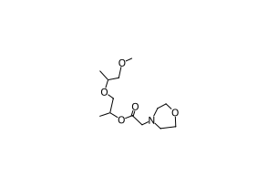 COCC(C)OCC(C)OC(=O)CN1CCOCC1